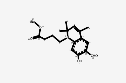 CC1=CC(C)(C)N(CCCC(=O)OC(C)(C)C)c2cc(O)c(C=O)cc21